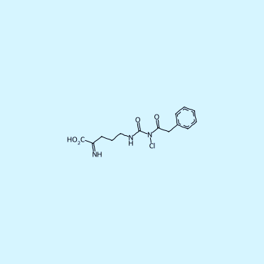 N=C(CCCNC(=O)N(Cl)C(=O)Cc1ccccc1)C(=O)O